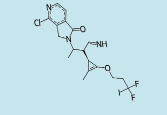 CC1=C(OCCC(F)(F)I)[C@@H]1C(C=N)C(C)N1Cc2c(ccnc2Cl)C1=O